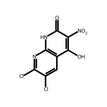 O=c1[nH]c2nc(Cl)c(Cl)cc2c(O)c1[N+](=O)[O-]